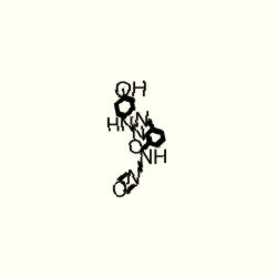 O=C(NCCN1CCOCC1)c1cccc2cnc(N[C@H]3CC[C@H](O)CC3)nc12